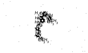 CCN(C)c1ccnc(OC2CCN(CC(=O)Nc3cccc4c(-c5nc(Nc6cc(C)n(C)n6)ncc5C)c[nH]c34)C2)n1